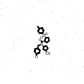 Cc1ccc(S(=O)(=O)[C@@H]2CCC[C@H]2C(=O)N(Cc2ccc(Cl)cc2)[C@H]2CC[C@@H](C#N)C2)cc1